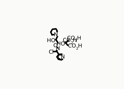 O=C(O)CC(O)(CC(=O)O)C(=O)O.OC(CON=C(Cl)c1cccnc1)CN1CCCCC1